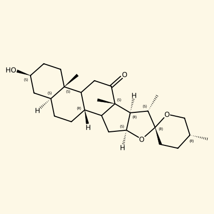 C[C@@H]1CC[C@@]2(OC1)O[C@H]1CC3[C@@H]4CC[C@H]5C[C@@H](O)CC[C@]5(C)C4CC(=O)[C@]3(C)[C@H]1[C@@H]2C